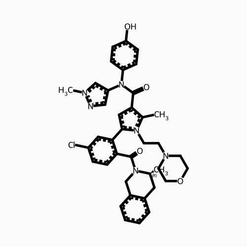 Cc1c(C(=O)N(c2ccc(O)cc2)c2cnn(C)c2)cc(-c2cc(Cl)ccc2C(=O)N2Cc3ccccc3C[C@H]2C)n1CCN1CCOCC1